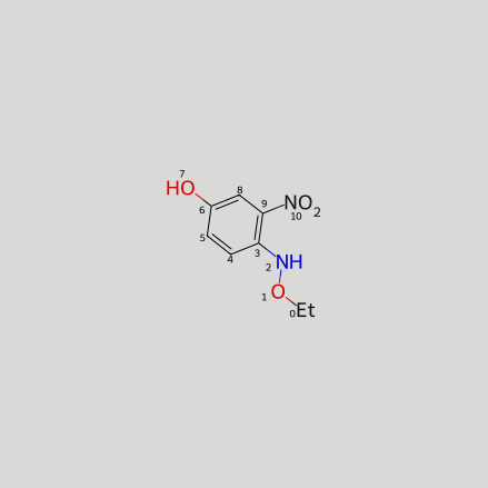 CCONc1ccc(O)cc1[N+](=O)[O-]